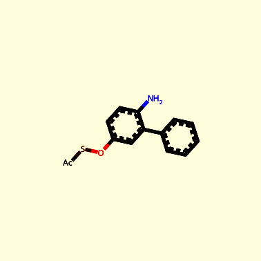 CC(=O)SOc1ccc(N)c(-c2ccccc2)c1